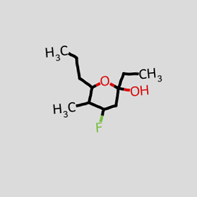 CCCC1OC(O)(CC)CC(F)C1C